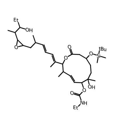 CCNC(=O)OC1/C=C/C(C)C(/C(C)=C/C=C/C(C)CC2OC2C(C)C(O)CC)OC(=O)CC(O[Si](C)(C)C(C)(C)C)CCC1(C)O